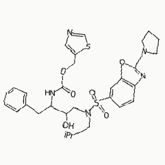 CC(C)CN(CC(O)C(Cc1ccccc1)NC(=O)OCc1cncs1)S(=O)(=O)c1ccc2nc(N3CCCC3)oc2c1